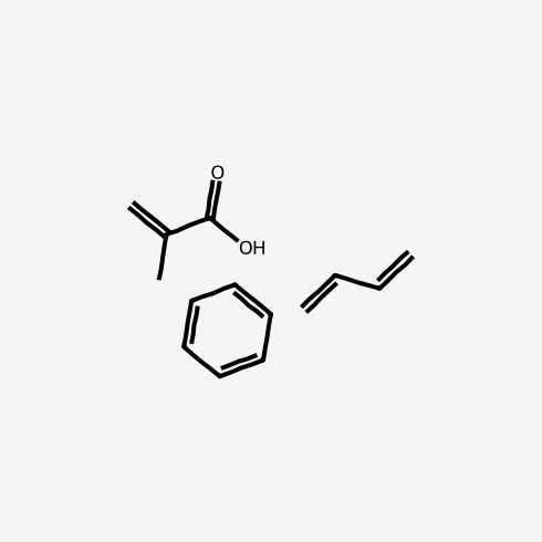 C=C(C)C(=O)O.C=CC=C.c1ccccc1